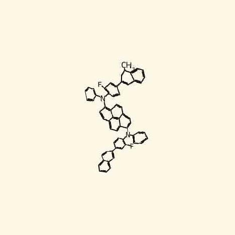 CC1CC(c2ccc(N(c3ccccc3)c3ccc4ccc5c(N(c6ccccc6)c6ccc(-c7ccc8ccccc8c7)cc6F)ccc6ccc3c4c65)c(F)c2)=Cc2ccccc21